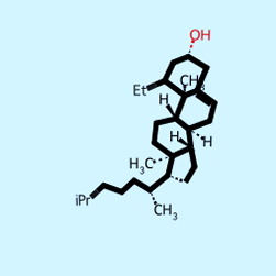 [CH2]CC1C[C@H](O)CC2=CC[C@H]3[C@@H]4CC[C@H]([C@H](C)CCCC(C)C)[C@@]4(C)CC[C@@H]3[C@]21C